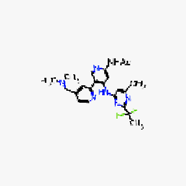 CC(=O)Nc1cc(Nc2cc(C)nc(C(C)(F)F)n2)c(-c2cc(CN(C)C)ccn2)cn1